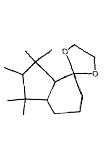 CC1C(C)(C)C2CCCC3(OCCO3)C2C1(C)C